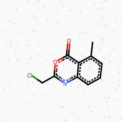 Cc1cccc2nc(CCl)oc(=O)c12